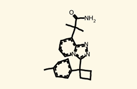 Cc1ccc(C2(c3nnc4c(C(C)(C)C(N)=O)cccn34)CCC2)cc1